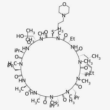 CC/C=C/[C@@H](C)C[C@H]1C(=O)N[C@@H](CC)C(=O)N(C)[C@H](SCCCN2CCOCC2)C(=O)N(C)[C@@H](CC(C)(C)O)C(=O)N[C@H](C(C)C)C(=O)N(C)[C@H](CC(C)C)C(=O)N[C@H](C)C(=O)N[C@@H](C)C(=O)N(C)[C@@H](CC(C)C)C(=O)N(C)[C@@H](CC(C)C)C(=O)N(C)[C@@H](C(C)C)C(=O)N1C